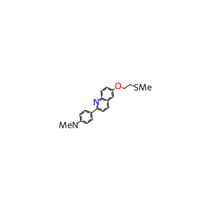 CNc1ccc(-c2ccc3cc(OCCSC)ccc3n2)cc1